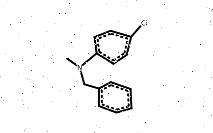 CN(Cc1ccccc1)c1ccc(Cl)cc1